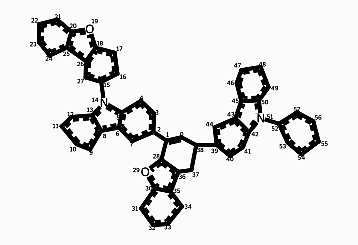 C1=C(c2ccc3c(c2)c2ccccc2n3-c2ccc3oc4ccccc4c3c2)c2oc3ccccc3c2CC1c1ccc2c(c1)c1ccccc1n2-c1ccccc1